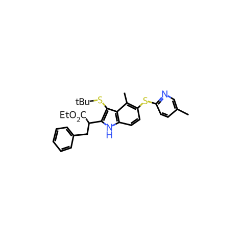 CCOC(=O)C(Cc1ccccc1)c1[nH]c2ccc(Sc3ccc(C)cn3)c(C)c2c1SC(C)(C)C